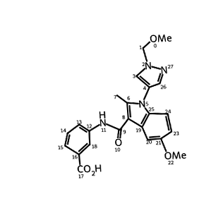 COCn1cc(-n2c(C)c(C(=O)Nc3cccc(C(=O)O)c3)c3cc(OC)ccc32)cn1